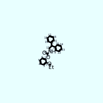 CCOc1ccccc1OC(=O)NCC(c1ccccc1)c1ccccc1